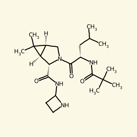 CC(C)C[C@H](NC(=O)C(C)(C)C)C(=O)N1C[C@H]2[C@@H]([C@H]1C(=O)NC1CCN1)C2(C)C